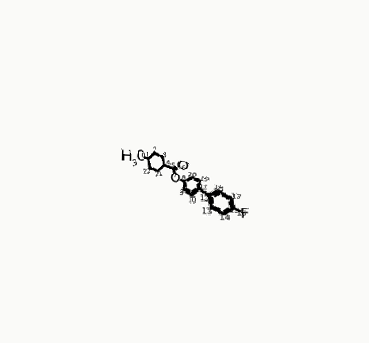 CC1CCC(C(=O)Oc2ccc(-c3ccc(F)cc3)cc2)CC1